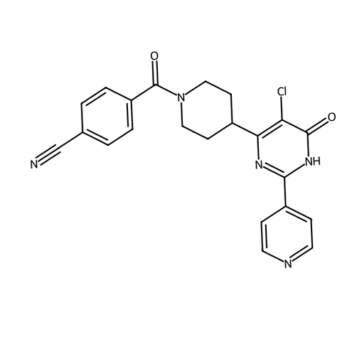 N#Cc1ccc(C(=O)N2CCC(c3nc(-c4ccncc4)[nH]c(=O)c3Cl)CC2)cc1